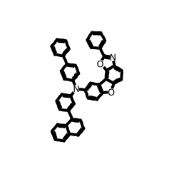 c1ccc(-c2ccc(N(c3cccc(-c4cccc5ccccc45)c3)c3ccc4oc5ccc6nc(-c7ccccc7)oc6c5c4c3)cc2)cc1